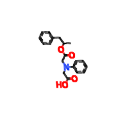 CC(Cc1ccccc1)OC(=O)CN(CC(=O)O)c1ccccc1